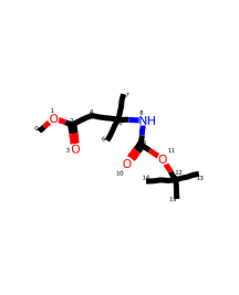 COC(=O)CC(C)(C)NC(=O)OC(C)(C)C